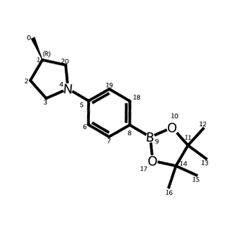 C[C@@H]1CCN(c2ccc(B3OC(C)(C)C(C)(C)O3)cc2)C1